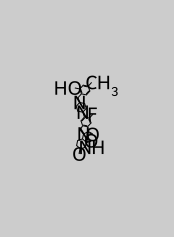 Cc1ccc(CN2CCN(c3cc4c(cc3F)C(=O)N(C3CCC(=O)NC3=O)C4)CC2)c(O)c1